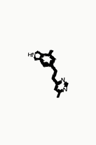 Cc1cc(CCc2cc(C)c3c(c2)CNC3)ncn1